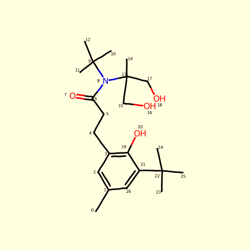 Cc1cc(CCC(=O)N(C(C)(C)C)C(C)(CO)CO)c(O)c(C(C)(C)C)c1